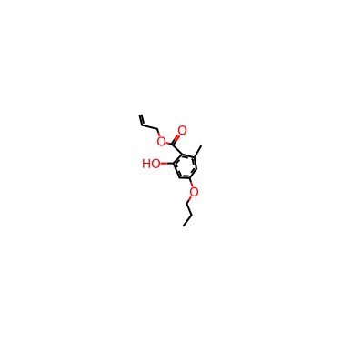 C=CCOC(=O)c1c(C)cc(OCCC)cc1O